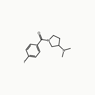 CN(C)C1CCN(C(=O)c2ccc(I)cc2)C1